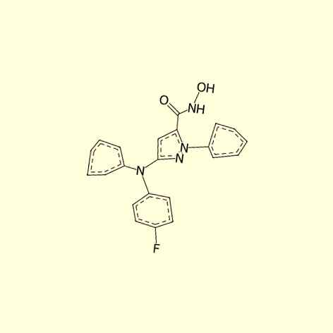 O=C(NO)c1cc(N(c2ccccc2)c2ccc(F)cc2)nn1-c1ccccc1